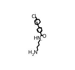 NCCCC[CH]NC(=O)c1ccc(C23CCC(Cl)(CC2)CC3)cc1